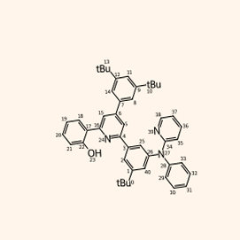 CC(C)(C)c1cc(-c2cc(-c3cc(C(C)(C)C)cc(C(C)(C)C)c3)cc(-c3ccccc3O)n2)cc(N(c2ccccc2)c2ccccn2)c1